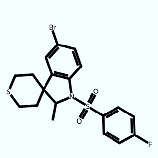 CC1N(S(=O)(=O)c2ccc(F)cc2)c2ccc(Br)cc2C12CCSCC2